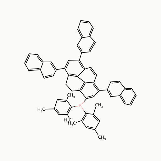 Cc1cc(C)c(B(c2cc(-c3ccc4ccccc4c3)c3ccc4c(-c5ccc6ccccc6c5)cc(-c5ccc6ccccc6c5)c5c4c3c2CC5)c2c(C)cc(C)cc2C)c(C)c1